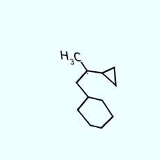 C[C](CC1CCCCC1)C1CC1